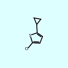 Clc1ccc(C2[CH]C2)s1